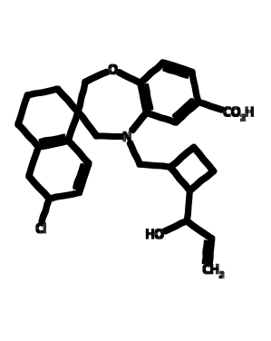 C=CC(O)C1CCC1CN1CC2(CCCC3=C2C=CC(Cl)C3)COc2ccc(C(=O)O)cc21